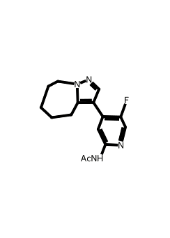 CC(=O)Nc1cc(-c2cnn3c2CCCCC3)c(F)cn1